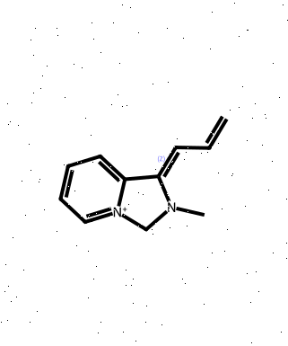 C=C/C=C1/c2cccc[n+]2CN1C